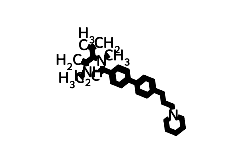 C=C(C)C(C(=C)NC)N(C)C(=C)c1ccc(-c2ccc(CCCN3CCCCC3)cc2)cc1